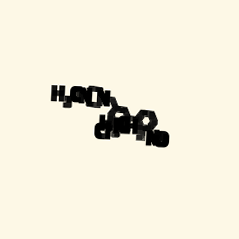 CC(/C=C(\C=C(/N)Cl)CN1CCN(C)CC1)c1cccc(N=O)c1